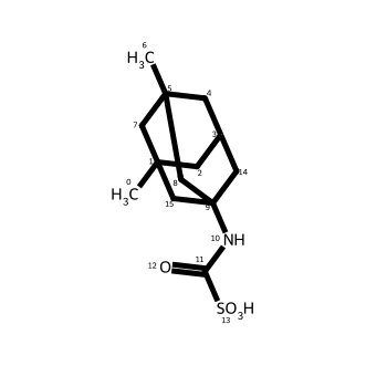 CC12CC3CC(C)(C1)CC(NC(=O)S(=O)(=O)O)(C3)C2